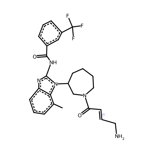 Cc1cccc2nc(NC(=O)c3cccc(C(F)(F)F)c3)n(C3CCCCN(C(=O)/C=C/CN)C3)c12